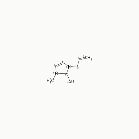 C=CCN1C=CN(C)[C]1S